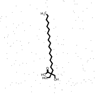 CCCCCCCCCCCCCCCCCCC(CO)(CO)C(=O)O